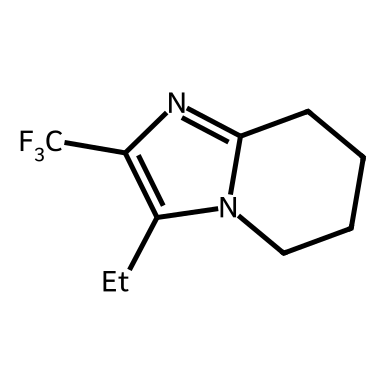 CCc1c(C(F)(F)F)nc2n1CCCC2